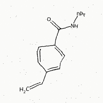 C=Cc1ccc(C(=O)NCCC)cc1